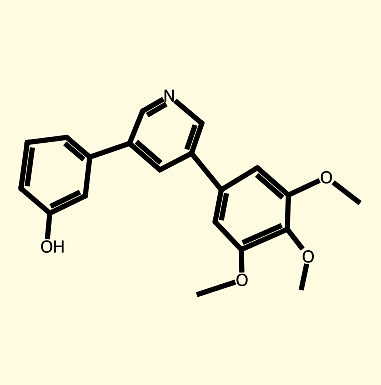 COc1cc(-c2cncc(-c3cccc(O)c3)c2)cc(OC)c1OC